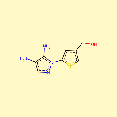 Nc1cnn(-c2cc(CO)cs2)c1N